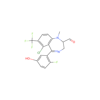 CN1c2ccc(C(F)(F)F)c(Cl)c2C(c2cc(O)ccc2F)=NCC1C=O